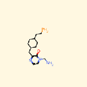 NCn1ccnc(CC2CCC(CCP)CC2)c1=O